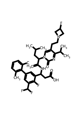 Cc1cccc(C)c1-c1cc(C(F)F)c(F)c(C(CC(=O)O)NC(=O)C(CC(C)C)n2cc(CCN3CC(F)C3)c(C(C)C)nc2=O)c1